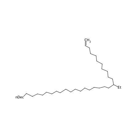 C=CCCCCCCCCCC(CC)CCCCCCCCCCCCCCCCCCCCCCCCCCCC